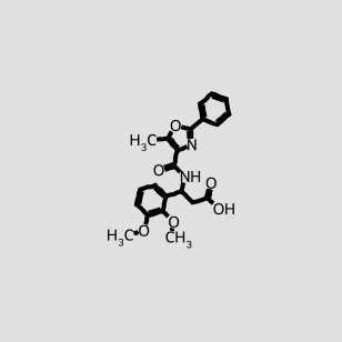 COc1cccc(C(CC(=O)O)NC(=O)c2nc(-c3ccccc3)oc2C)c1OC